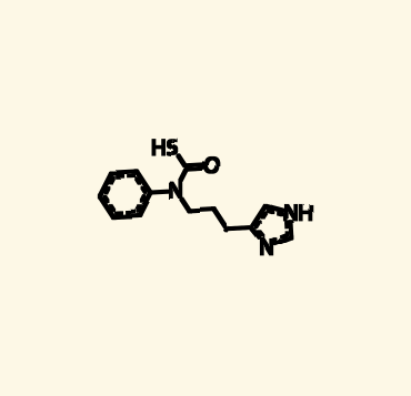 O=C(S)N(CCCc1c[nH]cn1)c1ccccc1